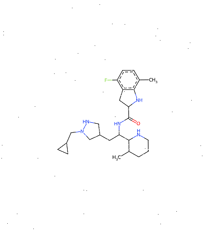 Cc1ccc(F)c2c1NC(C(=O)NC(CC1CNN(CC3CC3)C1)C1NCCCC1C)C2